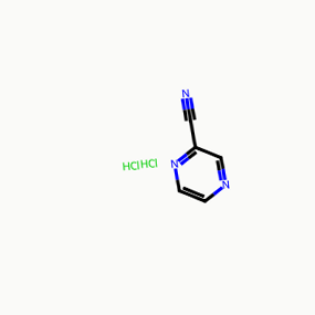 Cl.Cl.N#Cc1cnccn1